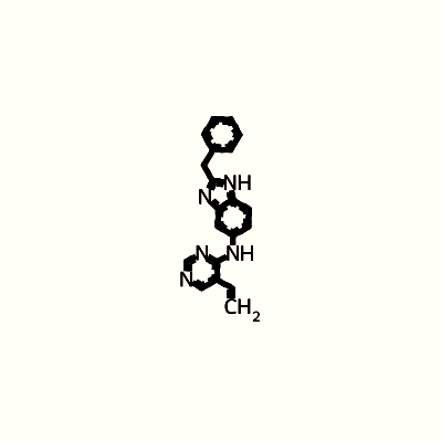 C=Cc1cncnc1Nc1ccc2[nH]c(Cc3ccccc3)nc2c1